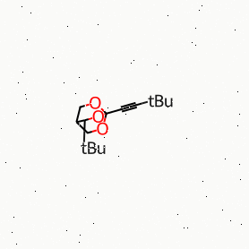 CC(C)(C)C#CC12OCC(CO1)C(C(C)(C)C)O2